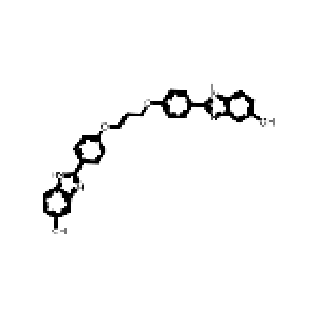 Oc1ccc2[nH]c(-c3ccc(OCCCOc4ccc(-c5nc6cc(O)ccc6[nH]5)cc4)cc3)nc2c1